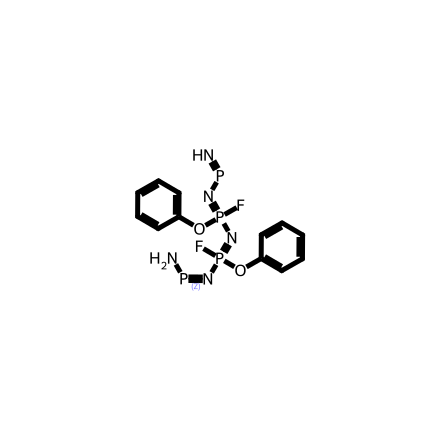 N=PN=P(F)(N=P(F)(/N=P\N)Oc1ccccc1)Oc1ccccc1